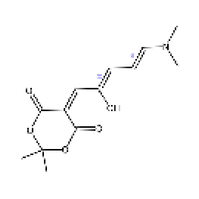 CN(C)/C=C/C=C(\O)C=C1C(=O)OC(C)(C)OC1=O